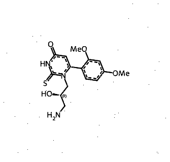 COc1ccc(-c2cc(=O)[nH]c(=S)n2C[C@H](O)CN)c(OC)c1